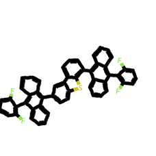 Fc1cccc(F)c1-c1c2ccccc2c(-c2ccc3sc4c(-c5c6ccccc6c(-c6c(F)cccc6F)c6ccccc56)cccc4c3c2)c2ccccc12